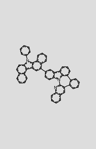 c1ccc(-n2c3ccc4ccccc4c3c3cc(-c4ccc5c(c4)c4cccc6c4n5-c4nc5ccccc5cc4-c4ccccc4-6)c4ccccc4c32)cc1